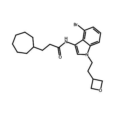 O=C(CCC1CCCCCC1)Nc1cn(CCC2COC2)c2cccc(Br)c12